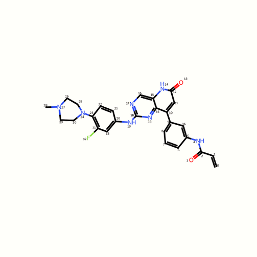 C=CC(=O)Nc1cccc(-c2cc(=O)[nH]c3cnc(Nc4ccc(N5CCN(C)CC5)c(F)c4)nc23)c1